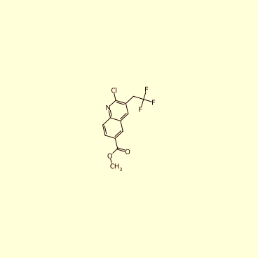 COC(=O)c1ccc2nc(Cl)c(CC(F)(F)F)cc2c1